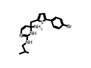 CC(C)CNC1=NC=CC(N)(Cc2ccc(-c3ccc(Br)cc3)s2)N1